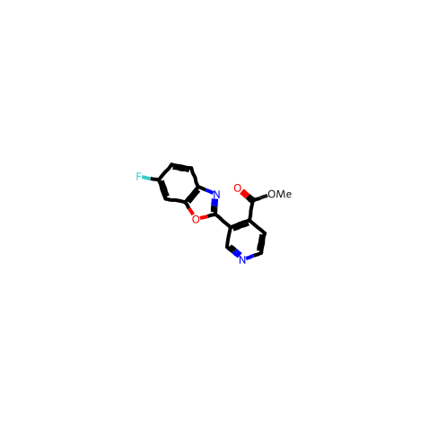 COC(=O)c1ccncc1-c1nc2ccc(F)cc2o1